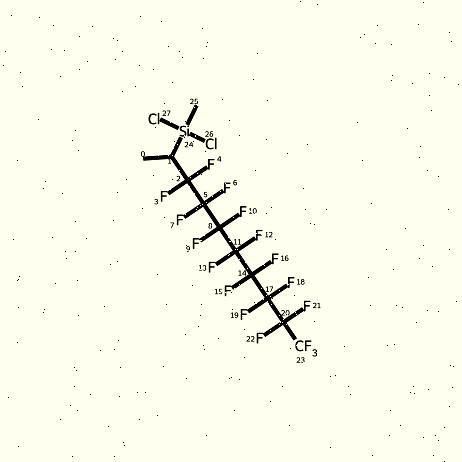 CC(C(F)(F)C(F)(F)C(F)(F)C(F)(F)C(F)(F)C(F)(F)C(F)(F)C(F)(F)F)[Si](C)(Cl)Cl